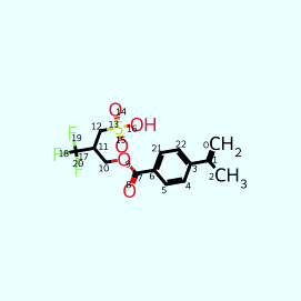 C=C(C)c1ccc(C(=O)OCC(CS(=O)(=O)O)C(F)(F)F)cc1